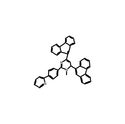 CN1C(c2ccc(-c3ccccn3)cc2)=NC(c2cc3ccccc3c3ccccc23)=CC1c1cc2ccccc2c2ccccc12